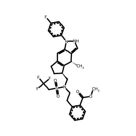 COC(=O)c1ccccc1CCN(C[C@H]1CCC2=C1[C@@H](C)C1=CNN(c3ccc(F)cc3)C1=C2)S(=O)(=O)CC(F)(F)F